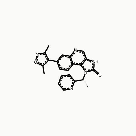 Cc1noc(C)c1-c1ccc2c(c1)ncc1[nH]c(=O)n([C@H](C)c3ccccn3)c12